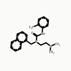 CN(C)CCN(Cc1cccc2ccccc12)C(=O)Nc1ccccc1C(F)(F)F